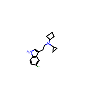 Fc1ccc2[nH]cc(CCN(C3CCC3)C3CC3)c2c1